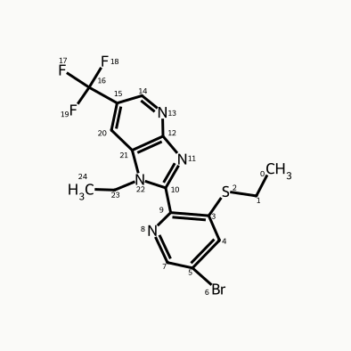 CCSc1cc(Br)cnc1-c1nc2ncc(C(F)(F)F)cc2n1CC